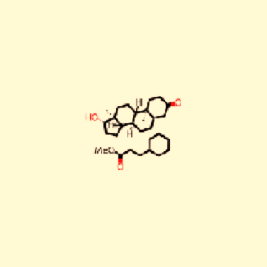 COC(=O)CCC1CCCCC1.C[C@]12CC[C@H]3[C@@H](CCC4CC(=O)CC[C@@]43C)[C@@H]1CC[C@@H]2O